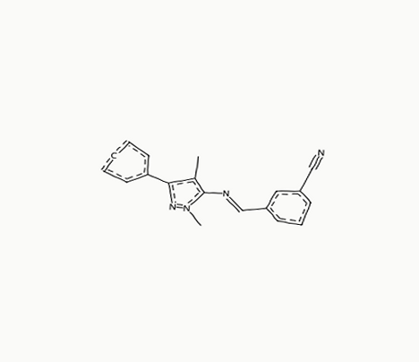 Cc1c(-c2ccccc2)nn(C)c1N=Cc1cccc(C#N)c1